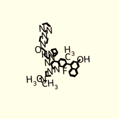 Cc1cc2c(nc(N3CC(N(C)C)C3)c3nc(CCC(=O)N4CCN(c5ncccn5)CC4)n(C4C5CNC4C5)c32)c(F)c1-c1cc(O)cc2ccccc12